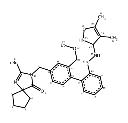 CCCCC1=NC2(CCCC2)C(=O)N1Cc1ccc(-c2ccccc2SNC2NOC(C)=C2C)c(COCC)c1